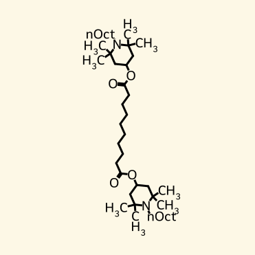 CCCCCCCCN1C(C)(C)CC(OC(=O)CCCCCCCCC(=O)OC2CC(C)(C)N(CCCCCCCC)C(C)(C)C2)CC1(C)C